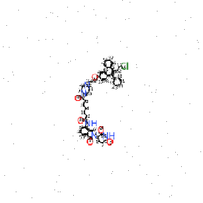 O=C1CCC(N2Cc3c(NC(=O)CCCCCC(=O)N4CCN(CCOc5ccc(C(=C(CCCl)c6ccccc6)c6ccccc6)cc5)CC4)cccc3C2=O)C(=O)N1